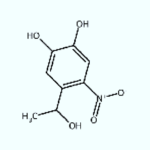 CC(O)c1cc(O)c(O)cc1[N+](=O)[O-]